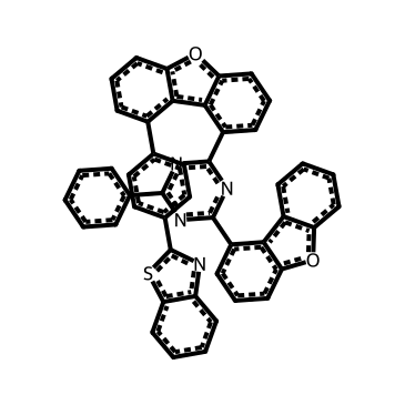 c1ccc(-c2nc(-c3cccc4oc5ccccc5c34)nc(-c3cccc4oc5cccc(-c6ccc(-c7nc8ccccc8s7)cc6)c5c34)n2)cc1